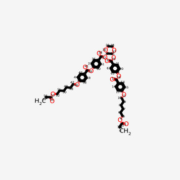 C=CC(=O)OCCCCCCOc1ccc(C(=O)Oc2ccc(C(=O)O[C@H]3OCCO[C@@H]3OC(=O)c3ccc(OC(=O)c4ccc(OCCCCCCOC(=O)C=C)cc4)cc3)cc2)cc1